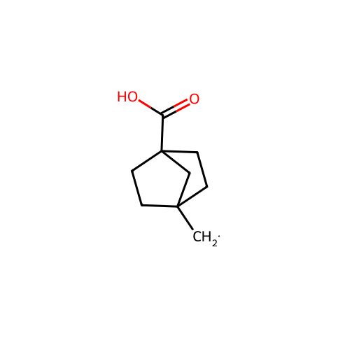 [CH2]C12CCC(C(=O)O)(CC1)C2